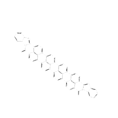 O=c1c2ccc3c4ccc5c6ccc7c8ccc9c(=O)n%10c%11ccccc%11nc%10c%10ccc(c%11ccc(c%12ccc(c%13ccc(c%14n1C1C=CC=CC1N=%14)c2c3%13)c4c5%12)c6c7%11)c8c9%10